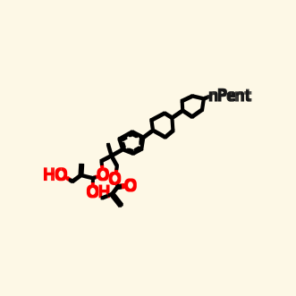 C=C(C)C(=O)OCC(C)(COC(O)C(=C)CO)c1ccc(C2CCC(C3CCC(CCCCC)CC3)CC2)cc1